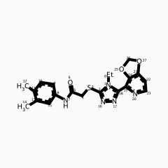 CCn1c(SCC(=O)Nc2ccc(C)c(C)c2)nnc1-c1nccc2c1OCO2